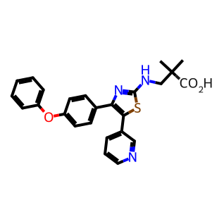 CC(C)(CNc1nc(-c2ccc(Oc3ccccc3)cc2)c(-c2cccnc2)s1)C(=O)O